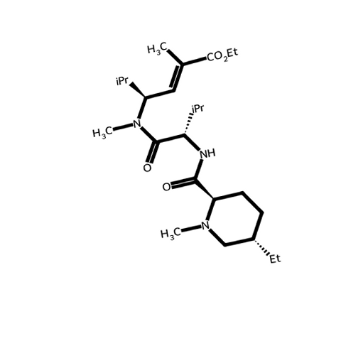 CCOC(=O)/C(C)=C/[C@H](C(C)C)N(C)C(=O)[C@@H](NC(=O)[C@H]1CC[C@H](CC)CN1C)C(C)C